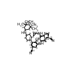 CN1C(C)(C)CC(NC2CCN(c3cc(C#N)cc(Nc4nc(NC5CC5)c5ncc(C#N)n5n4)c3Cl)CC2)CC1(C)C